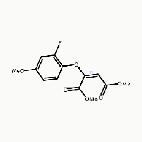 COC(=O)/C=C(/Oc1ccc(OC)cc1F)C(=O)OC